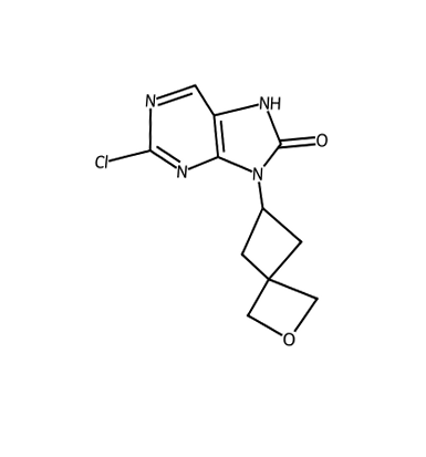 O=c1[nH]c2cnc(Cl)nc2n1C1CC2(COC2)C1